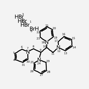 Br.Br.Br.Br.C1=CCN(CC(C(CN2C=CC=CC2)N2C=CC=CC2)N2C=CC=CC2)C=C1